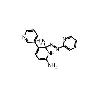 NC1=CC=C(c2cccnc2)C(N)(N=Nc2ccccn2)N1